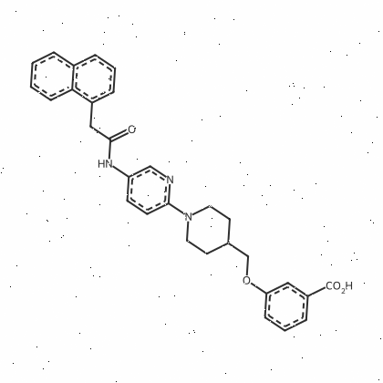 O=C(Cc1cccc2ccccc12)Nc1ccc(N2CCC(COc3cccc(C(=O)O)c3)CC2)nc1